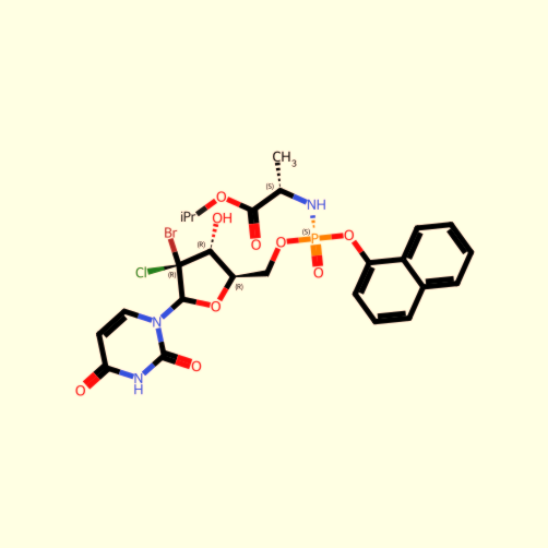 CC(C)OC(=O)[C@H](C)N[P@](=O)(OC[C@H]1OC(n2ccc(=O)[nH]c2=O)[C@](Cl)(Br)[C@@H]1O)Oc1cccc2ccccc12